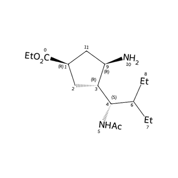 CCOC(=O)[C@@H]1C[C@@H]([C@@H](NC(C)=O)C(CC)CC)[C@H](N)C1